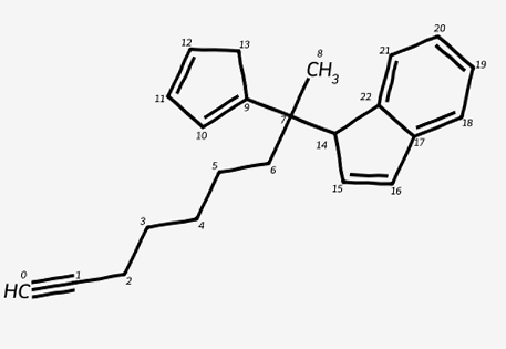 C#CCCCCCC(C)(C1=CC=CC1)C1C=Cc2ccccc21